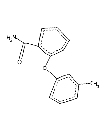 Cc1cccc(Oc2ccccc2C(N)=O)c1